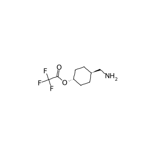 NC[C@H]1CC[C@H](OC(=O)C(F)(F)F)CC1